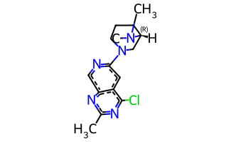 Cc1nc(Cl)c2cc(N3C[C@H]4CCC3CN4C)ncc2n1